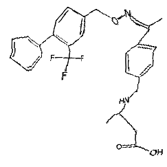 CC(=NOCc1ccc(-c2ccccc2)c(C(F)(F)F)c1)c1ccc(CNC(C)CC(=O)O)cc1